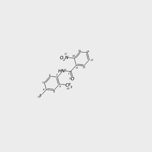 O=C(Nc1ccc(F)cc1C(F)(F)F)c1ccccc1[N+](=O)[O-]